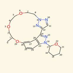 CC1COCCOCCn2ncc(n2)-c2nn(C3CCCCO3)c3ccc(cc23)O1